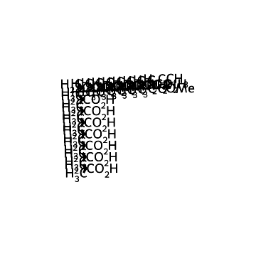 C=C(C)C(=O)O.C=C(C)C(=O)O.C=C(C)C(=O)O.C=C(C)C(=O)O.C=C(C)C(=O)O.C=C(C)C(=O)O.C=C(C)C(=O)O.C=C(C)C(=O)O.C=C(C)C(=O)O.C=C(C)C(=O)O.C=C(C)C(=O)O.C=C(C)C(=O)O.C=C(C)C(=O)O.C=C(C)C(=O)O.C=C(C)C(=O)O.C=C(C)C(=O)OC